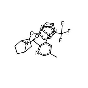 Cc1cnc(C(=O)N2C3CCC2C(Oc2ccc(C(F)(F)F)cn2)C3)c(-n2nccn2)c1